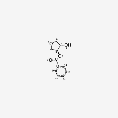 O=C(O[C@H]1COC[C@@H]1O)c1ccccc1